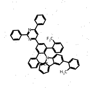 Cc1ccccc1-c1ccc2c(c1)c1ccccc1n2-c1c(-c2ccccc2C(F)(F)F)cc(-c2cc(-c3ccccc3)nc(-c3ccccc3)n2)cc1-c1ccccc1C(F)(F)F